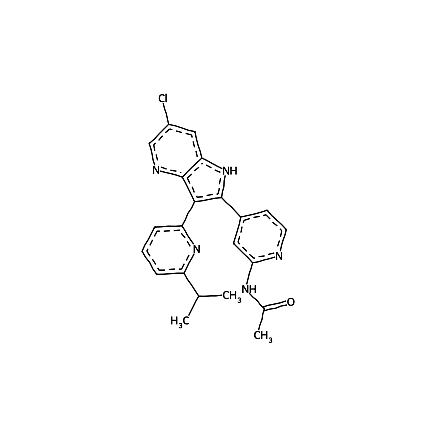 CC(=O)Nc1cc(-c2[nH]c3cc(Cl)cnc3c2-c2cccc(C(C)C)n2)ccn1